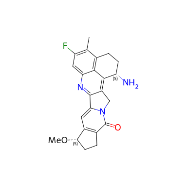 CO[C@H]1CCc2c1cc1n(c2=O)Cc2c-1nc1cc(F)c(C)c3c1c2[C@@H](N)CC3